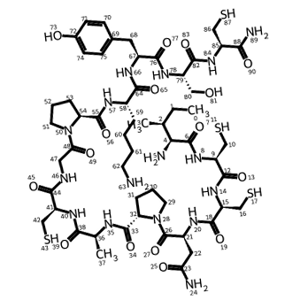 CC[C@H](C)[C@H](N)C(=O)N[C@@H](CS)C(=O)N[C@@H](CS)C(=O)N[C@@H](CC(N)=O)C(=O)N1CCC[C@H]1C(=O)N[C@@H](C)C(=O)N[C@@H](CS)C(=O)NCC(=O)N1CCC[C@H]1C(=O)N[C@@H](CCCCN)C(=O)N[C@@H](Cc1ccc(O)cc1)C(=O)N[C@@H](CO)C(=O)N[C@@H](CS)C(N)=O